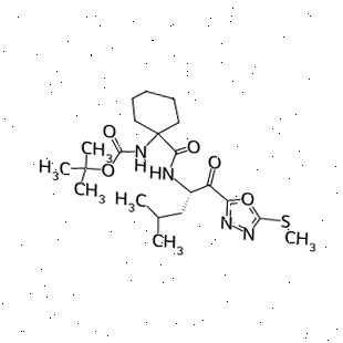 CSc1nnc(C(=O)[C@H](CC(C)C)NC(=O)C2(NC(=O)OC(C)(C)C)CCCCC2)o1